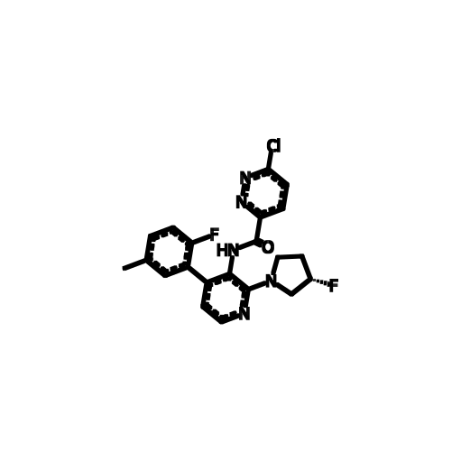 Cc1ccc(F)c(-c2ccnc(N3CC[C@H](F)C3)c2NC(=O)c2ccc(Cl)nn2)c1